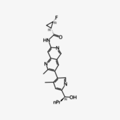 CCC[C@H](O)c1cc(C)c(-c2cc3cnc(NC(=O)[C@@H]4C[C@@H]4F)cc3nc2C)cn1